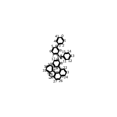 c1ccc(-c2cccc(N(c3ccccc3)c3cccc(-c4cccc5ccc6sc7ccccc7c6c45)c3)c2)cc1